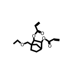 C=CC(=O)OC1C2CCC(COCC)(C2)C1OC(=O)C=C